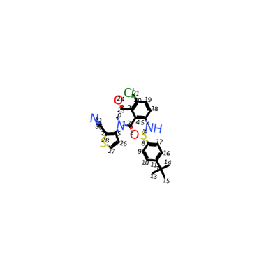 CN(C(=O)c1c(NSc2ccc(C(C)(C)C)cc2)ccc(Cl)c1C=O)c1ccsc1C#N